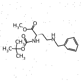 COC(=O)[C@H](CCNCc1ccccc1)NC(=O)OC(C)(C)C